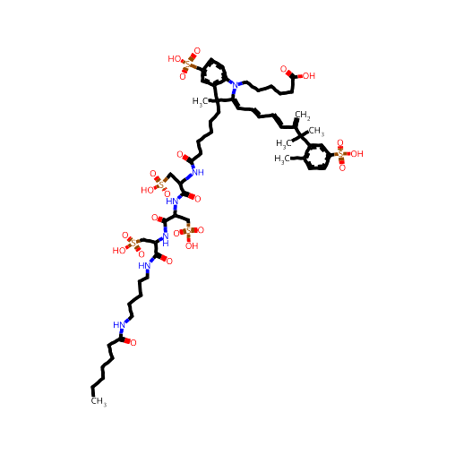 C=C(/C=C/C=C/C=C1\N(CCCCCC(=O)O)c2ccc(S(=O)(=O)O)cc2C1(C)CCCCCC(=O)NC(CS(=O)(=O)O)C(=O)NC(CS(=O)(=O)O)C(=O)NC(CS(=O)(=O)O)C(=O)NCCCCCNC(=O)CCCCCC)C(C)(C)c1cc(S(=O)(=O)O)ccc1C